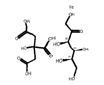 O=C(CO)[C@H](O)[C@@H](O)[C@H](O)CO.O=C(O)CC(O)(CC(=O)O)C(=O)O.[Fe]